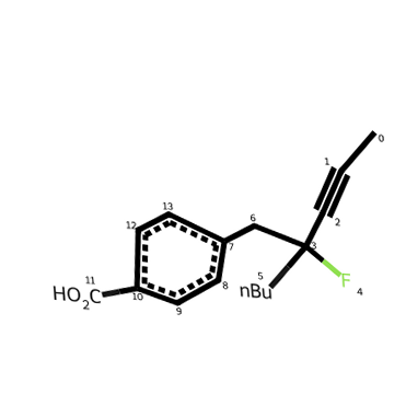 CC#CC(F)(CCCC)Cc1ccc(C(=O)O)cc1